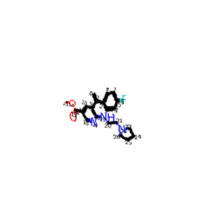 C=C(c1ccc(F)cc1)c1cc(C(=O)OC)cnc1NCCN1CCCC1